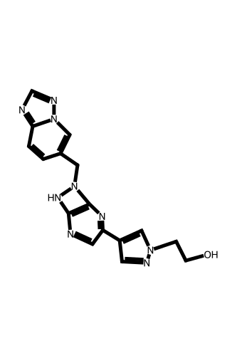 OCCn1cc(-c2cnc3[nH]n(Cc4ccc5ncnn5c4)c3n2)cn1